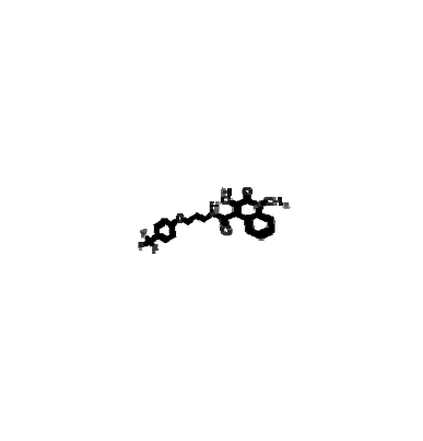 Cn1c(=O)c(O)c(C(=O)NCCCOc2ccc(C(F)(F)F)cc2)c2ccccc21